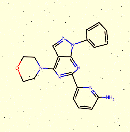 Nc1cccc(-c2nc(N3CCOCC3)c3cnn(-c4ccccc4)c3n2)n1